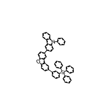 c1ccc(-n2c3ccccc3c3cc(-c4ccc5oc6ccc(-c7cccc([Si](c8ccccc8)(c8ccccc8)c8ccccc8)c7)cc6c5c4)ccc32)cc1